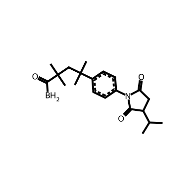 BC(=O)C(C)(C)CC(C)(C)c1ccc(N2C(=O)CC(C(C)C)C2=O)cc1